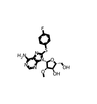 CO[C@@H]1[C@H](O)[C@@H](CO)O[C@H]1n1c(Sc2ccc(F)cc2)nc2c(N)ncnc21